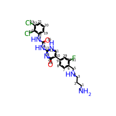 NCCCNCc1ccc(-c2c[nH]c(NC(=O)Nc3cccc(Cl)c3Cl)nc2=O)cc1F